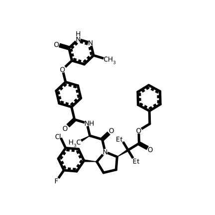 CCC(CC)(C(=O)OCc1ccccc1)[C@H]1CC[C@@H](c2cc(F)cc(Cl)c2)N1C(=O)[C@@H](C)NC(=O)c1ccc(Oc2cc(C)n[nH]c2=O)cc1